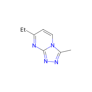 CCc1ccn2c(C)nnc2n1